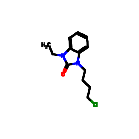 CCn1c(=O)n(CCCCCl)c2ccccc21